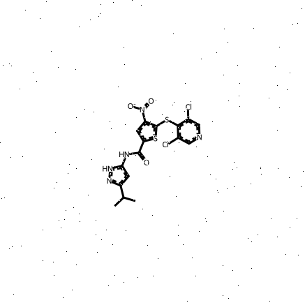 CC(C)c1cc(NC(=O)c2cc([N+](=O)[O-])c(Sc3c(Cl)cncc3Cl)s2)[nH]n1